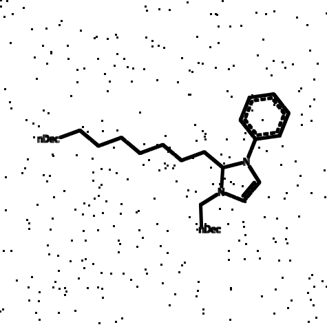 CCCCCCCCCCCCCCCCCC1N(CCCCCCCCCCC)C=CN1c1ccccc1